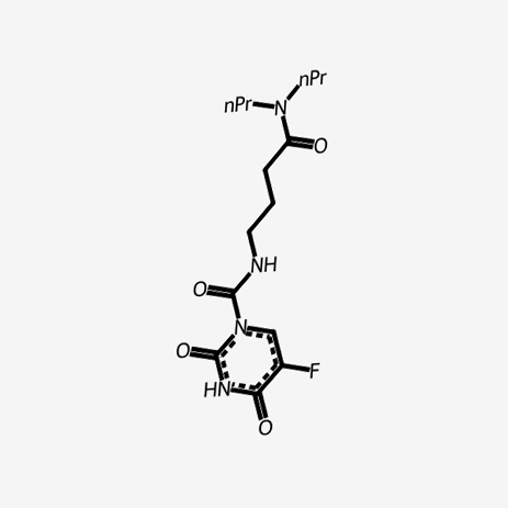 CCCN(CCC)C(=O)CCCNC(=O)n1cc(F)c(=O)[nH]c1=O